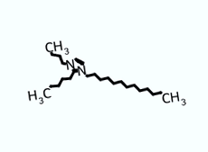 CCCCCCCCCCCCCn1cc[n+](CCCC)c1CCCCC